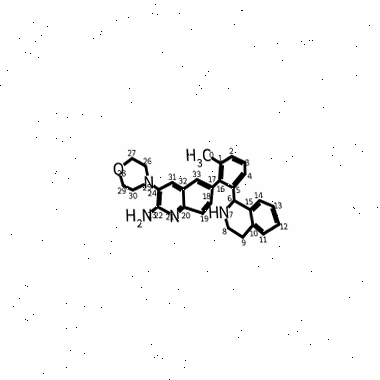 Cc1cccc(C2NCCc3ccccc32)c1-c1ccc2nc(N)c(N3CCOCC3)cc2c1